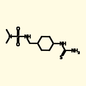 CN(C)S(=O)(=O)NCC1CCC(NC(N)=S)CC1